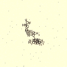 COc1cc2c(Nc3ncc(CC(=O)Nc4cc(F)cc(F)c4)s3)ncnc2cc1OCCCNC([C](C)C(C)(C)C)C(C)(C)C